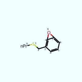 CCCSCc1cccc2c1O2